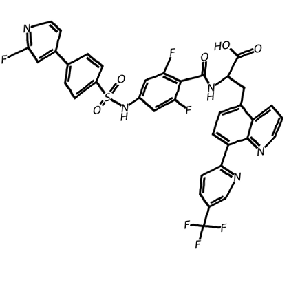 O=C(NC(Cc1ccc(-c2ccc(C(F)(F)F)cn2)c2ncccc12)C(=O)O)c1c(F)cc(NS(=O)(=O)c2ccc(-c3ccnc(F)c3)cc2)cc1F